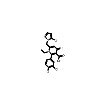 CCn1c(Cn2nccc2Cl)cc(=O)c(C(=O)O)c1-c1ccc(Cl)c(Cl)c1